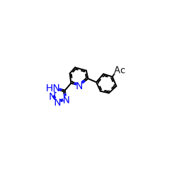 CC(=O)c1cccc(-c2cccc(-c3nnn[nH]3)n2)c1